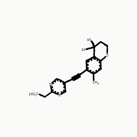 CCOC(=O)Cc1ncc(C#Cc2cc3c(cc2C)OCCC3(CC)CC)cn1